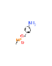 CC[PH](=O)OCc1ccc(N)cc1